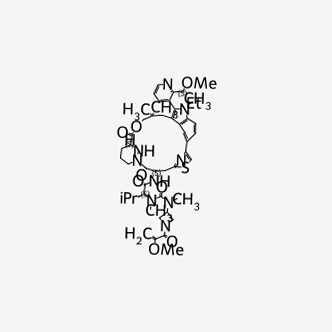 C=C(OC)C(=O)N1CC(N(C)C(=O)N(C)[C@H](C(=O)N[C@H]2Cc3nc(cs3)-c3ccc4c(c3)c(c(-c3cccnc3[C@H](C)OC)n4CC)CC(C)(C)COC(=O)[C@@H]3CCCN(N3)C2=O)C(C)C)C1